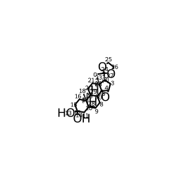 CC1([C@H]2CC3OC34[C@@H]3CC=C5CC(O)(O)CC[C@]5(C)[C@H]3CC[C@]24C)OCCO1